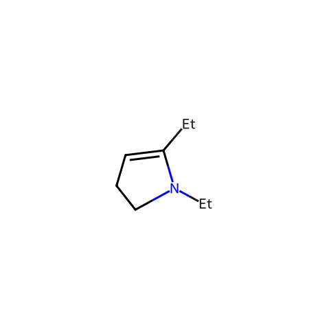 CCC1=CCCN1CC